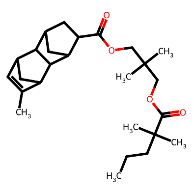 CCCC(C)(C)C(=O)OCC(C)(C)COC(=O)C1CC2CC1C1C3CC(C=C3C)C21